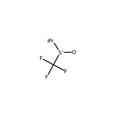 CC(C)[S+]([O-])C(F)(F)F